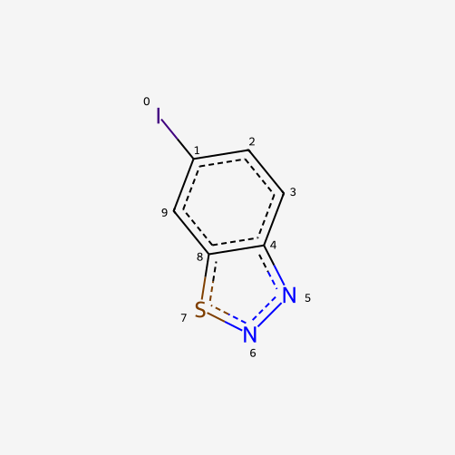 Ic1ccc2nnsc2c1